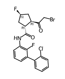 O=C(CBr)[C@@H]1C[C@H](F)C[C@H]1C(=O)Nc1cccc(-c2ccccc2Cl)c1F